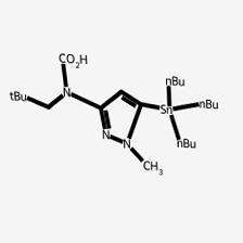 CCC[CH2][Sn]([CH2]CCC)([CH2]CCC)[c]1cc(N(CC(C)(C)C)C(=O)O)nn1C